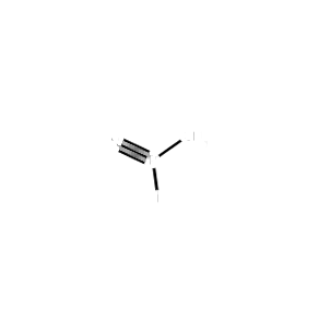 CP(#N)I